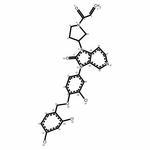 C=CC(=O)N1CCC(n2c(=O)n(-c3ccc(OCc4ccc(Cl)cc4Cl)c(Cl)c3)c3cnccc32)C1